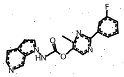 Cc1nc(-c2cccc(F)c2)ncc1OC(=O)Nn1ccc2ccncc21